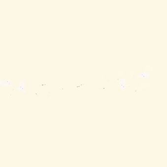 CC(O)(C(F)F)[C@H](NC(=O)c1ccc(C#CC#Cc2ccc(CNC(N)=O)cc2)cc1)C(=O)NO